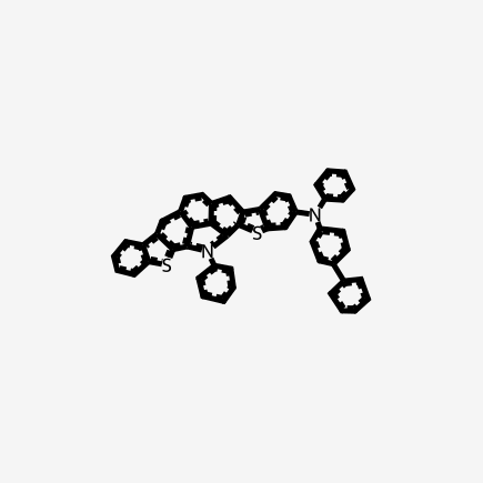 c1ccc(-c2ccc(N(c3ccccc3)c3ccc4c(c3)sc3c4cc4ccc5cc6c7ccccc7sc6c6c5c4c3n6-c3ccccc3)cc2)cc1